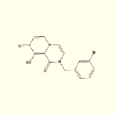 O=c1ccn2ccn(Cc3cccc(Br)c3)c(=O)c2c1O